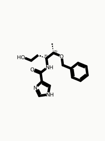 C[C@H](OCc1ccccc1)[C@@H](CCO)NC(=O)c1c[nH]cn1